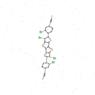 CC#Cc1ccc(-c2sc3c(sc4c5sc(-c6ccc(C#CC)cc6Br)c(Br)c5sc34)c2Br)c(Br)c1